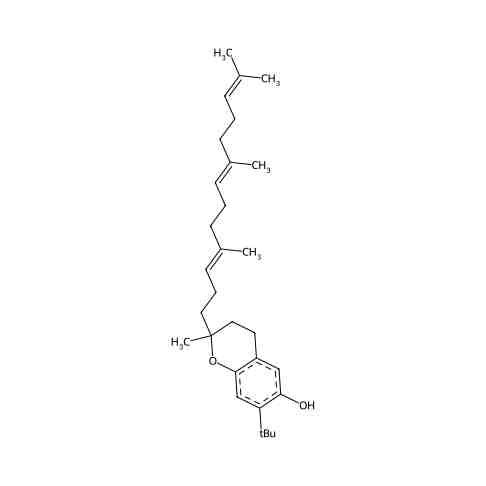 CC(C)=CCC/C(C)=C/CC/C(C)=C/CCC1(C)CCc2cc(O)c(C(C)(C)C)cc2O1